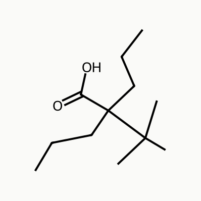 CCCC(CCC)(C(=O)O)C(C)(C)C